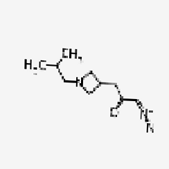 C[C](C)CN1CC(CC(=O)C=[N+]=[N-])C1